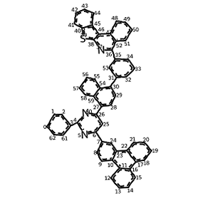 c1ccc(-c2nc(-c3ccc4c5ccccc5c5ccccc5c4c3)cc(-c3ccc(-c4cccc(-c5nc6sc7ccccc7c6c6ccccc56)c4)c4ccccc34)n2)cc1